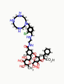 CCC1CC(C(=O)NCCNCc2ccc(CN3CCCNCCNCCCNCC3)cc2Br)CC(OC2OC(CO)C(O)C(O[C@@H](CC3CCCCC3)C(=O)O)C2NC(C)=O)C1CC1OC(C)C(O)C(O)C1O